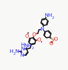 COc1cc(CC2(N)C=CN=C(N)N2)cc(OC)c1OCCN(C1=CCC(=S(=O)=O)C=C1)c1ccc(N)cc1